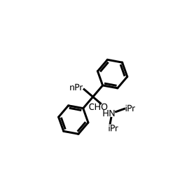 CC(C)NC(C)C.CCCC(C=O)(c1ccccc1)c1ccccc1